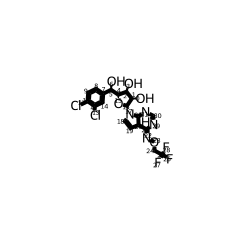 O[C@@H]1[C@H](O)[C@@H]([C@H](O)c2ccc(Cl)c(Cl)c2)O[C@H]1N1C=CC2C(=NOCC(F)(F)F)N=CNC21